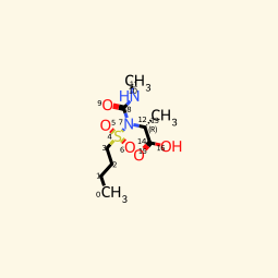 CCCCS(=O)(=O)N(C(=O)NC)[C@H](C)C(=O)O